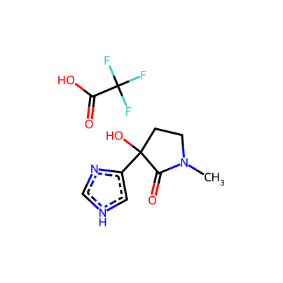 CN1CCC(O)(c2c[nH]cn2)C1=O.O=C(O)C(F)(F)F